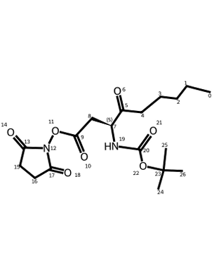 CCCCCC(=O)[C@H](CC(=O)ON1C(=O)CCC1=O)NC(=O)OC(C)(C)C